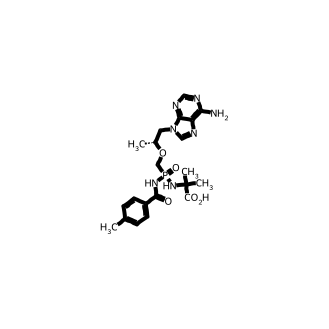 Cc1ccc(C(=O)NP(=O)(CO[C@H](C)Cn2cnc3c(N)ncnc32)NC(C)(C)C(=O)O)cc1